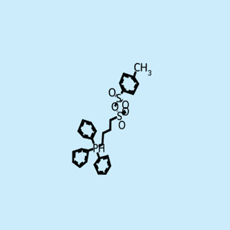 Cc1ccc(S(=O)(=O)OS(=O)(=O)CCCC[PH](c2ccccc2)(c2ccccc2)c2ccccc2)cc1